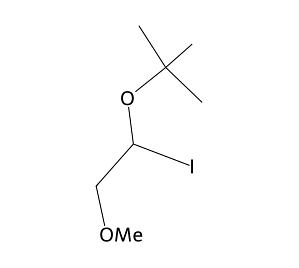 COCC(I)OC(C)(C)C